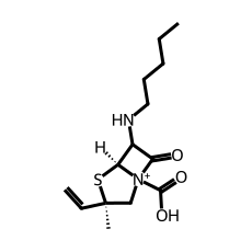 C=C[C@]1(C)C[N+]2(C(=O)O)C(=O)C(NCCCCC)[C@@H]2S1